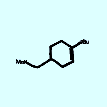 CCCCC1=CCC(CNC)CC1